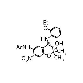 CCOc1ccccc1N[C@@H]1c2cc(NC(C)=O)c([N+](=O)[O-])cc2OC(C)(C)[C@H]1O